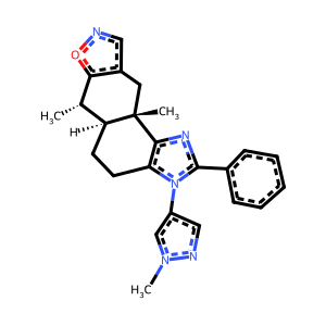 C[C@@H]1c2oncc2C[C@]2(C)c3nc(-c4ccccc4)n(-c4cnn(C)c4)c3CC[C@@H]12